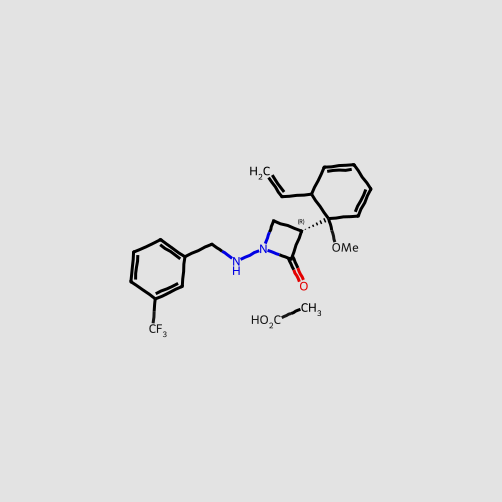 C=CC1C=CC=CC1(OC)[C@H]1CN(NCc2cccc(C(F)(F)F)c2)C1=O.CC(=O)O